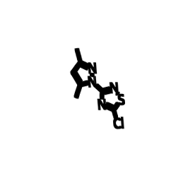 Cc1cc(C)n(-c2nsc(Cl)n2)n1